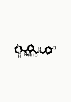 O=C(NCc1ccc(Cl)cc1)c1cccc2c(C3=CN=CCN3)n[nH]c12